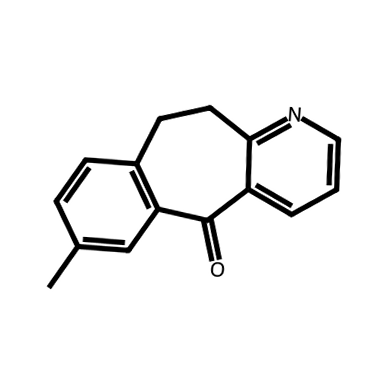 Cc1ccc2c(c1)C(=O)c1cccnc1CC2